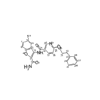 NC(=O)c1oc2ccc(F)cc2c1NC(=O)c1ccc(OCCc2ccccc2)nc1